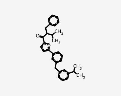 CC(C)c1cccc(Cc2cccc(-c3ccc(C(=O)C(Cc4ccccc4)C(C)C)s3)c2)c1